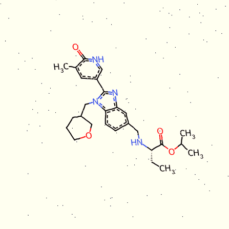 CC[C@H](NCc1ccc2c(c1)nc(-c1c[nH]c(=O)c(C)c1)n2CC1CCCOC1)C(=O)OC(C)C